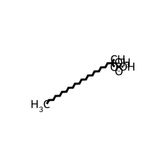 CCCCCCCCCCCCCCCCCCCCC(C)OP(=O)(O)O